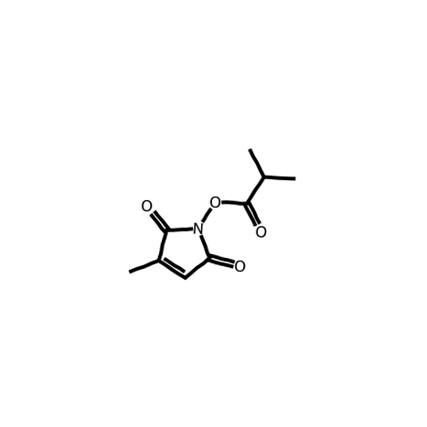 CC1=CC(=O)N(OC(=O)C(C)C)C1=O